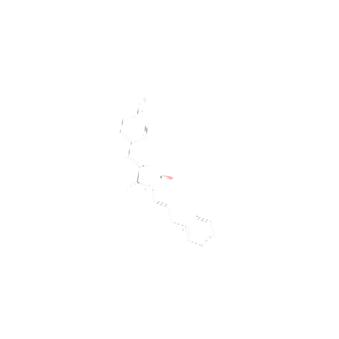 O=C1S/C(=C\c2ccc(O)cc2)C(=O)N1/C=C/Cc1ccccc1